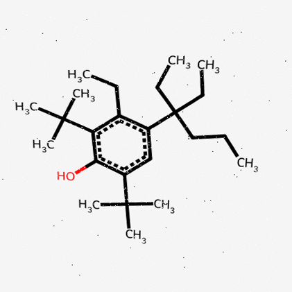 CC[C]C(CC)(CC)c1cc(C(C)(C)C)c(O)c(C(C)(C)C)c1CC